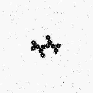 Cc1ccc(N(c2ccc(C)cc2)c2ccc(-n3c4ccc(-c5ccccc5)cc4c4cc(-c5ccc6c(c5)c5cc(-c7ccccc7)ccc5n6-c5ccc6c(c5)c5ccccc5n6-c5ccccc5)ccc43)cc2)cc1